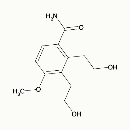 COc1ccc(C(N)=O)c(CCO)c1CCO